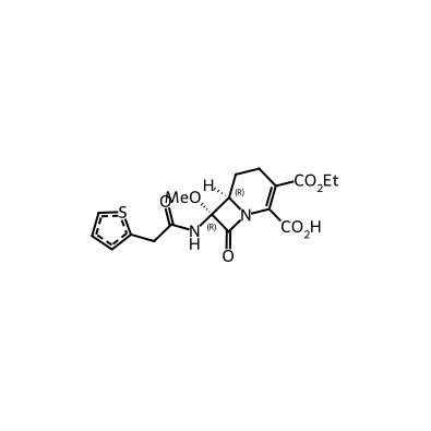 CCOC(=O)C1=C(C(=O)O)N2C(=O)[C@](NC(=O)Cc3cccs3)(OC)[C@H]2CC1